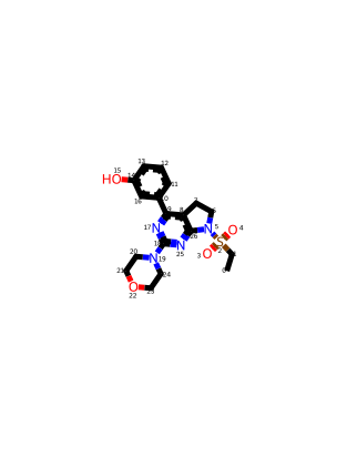 CCS(=O)(=O)N1CCc2c(-c3cccc(O)c3)nc(N3CCOCC3)nc21